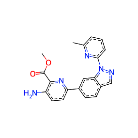 COC(=O)c1nc(-c2ccc3cnn(-c4cccc(C)n4)c3c2)ccc1N